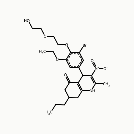 CCCC1CC(=O)C2=C(C1)NC(C)=C([N+](=O)[O-])C2c1cc(Br)c(OCCOCCO)c(OCC)c1